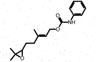 C/C(=C\COC(=O)Nc1ccccc1)CCC1OC1(C)C